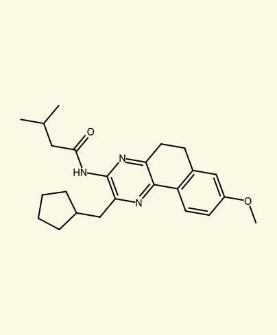 COc1ccc2c(c1)CCc1nc(NC(=O)CC(C)C)c(CC3CCCC3)nc1-2